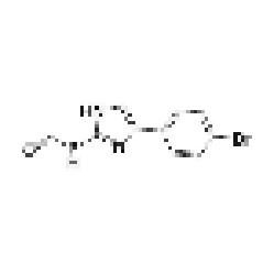 O=CPc1nc(-c2ccc(Br)cc2)c[nH]1